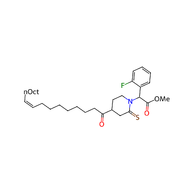 CCCCCCCC/C=C\CCCCCCCC(=O)C1CCN(C(C(=O)OC)c2ccccc2F)C(=S)C1